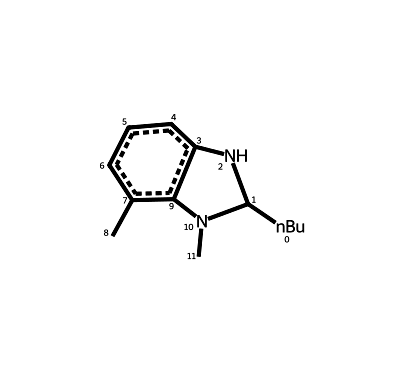 CCCCC1Nc2cccc(C)c2N1C